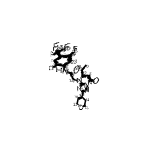 CCc1cc(=O)n2nc(C3=CCOCC3)nc2n1CC(=O)Nc1cc(F)c(C(F)(F)F)cc1Cl